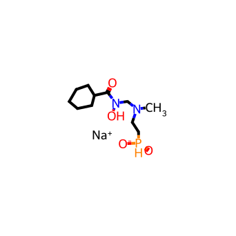 CN(CC[PH](=O)[O-])CN(O)C(=O)C1CCCCC1.[Na+]